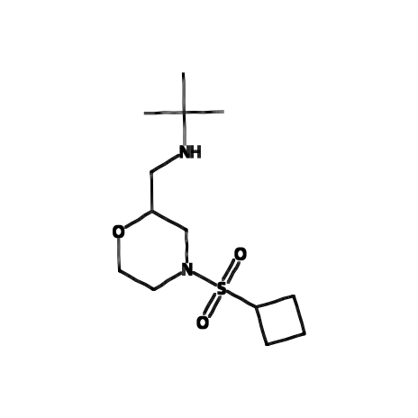 CC(C)(C)NCC1CN(S(=O)(=O)C2CCC2)CCO1